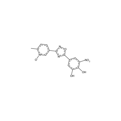 Cc1ccc(-c2noc(-c3cc(O)c(O)c([N+](=O)[O-])c3)n2)c[n+]1[O-]